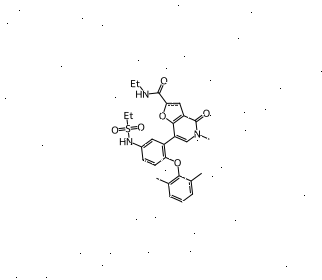 CCNC(=O)c1cc2c(=O)n(C)cc(-c3cc(NS(=O)(=O)CC)ccc3Oc3c(C)cccc3C)c2o1